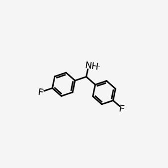 [NH]C(c1ccc(F)cc1)c1ccc(F)cc1